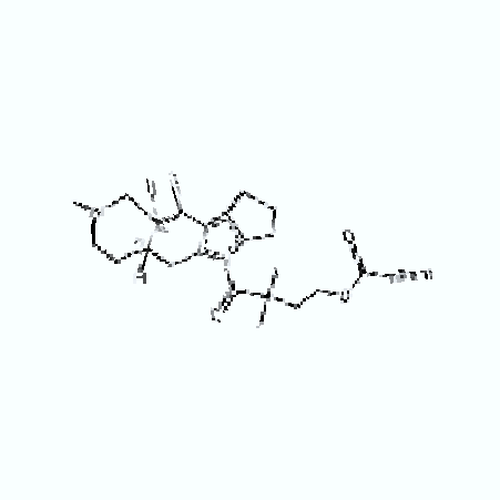 CCCCCC(=O)OCCC(C)(C)C(=O)n1c2c(c3c1C[C@@H]1CCN(C)C[C@H]1C3=O)CCC2